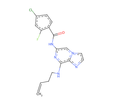 C=CCCNc1nc(NC(=O)c2ccc(Cl)cc2F)cn2ccnc12